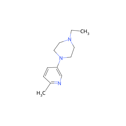 CCN1CCN(c2ccc(C)nc2)CC1